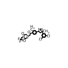 Cc1cc(C2=NOC(C)(c3cc(Cl)cc(Cl)c3)C2)ccc1C(=O)CN1CC(=O)N(CC(F)(F)F)C(=O)C1